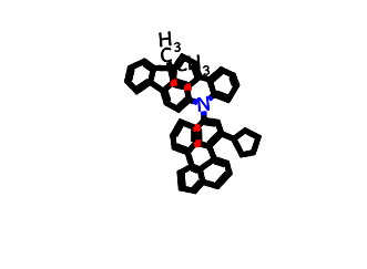 CC1(C)c2ccccc2-c2ccc(N(c3ccc(-c4cccc5cccc(-c6ccccc6)c45)c(C4CCCC4)c3)c3ccccc3-c3ccccc3)cc21